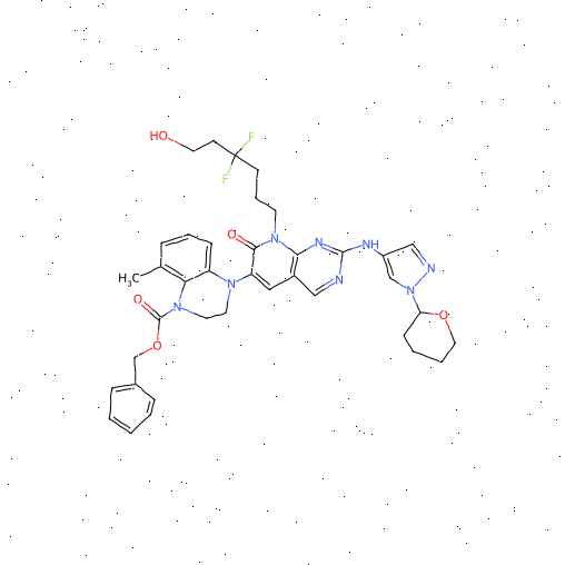 Cc1cccc2c1N(C(=O)OCc1ccccc1)CCN2c1cc2cnc(Nc3cnn(C4CCCCO4)c3)nc2n(CCCC(F)(F)CCO)c1=O